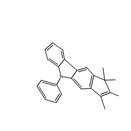 CC1=C(C)C(C)(C)c2cc3c4ccccc4n(-c4ccccc4)c3cc21